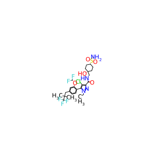 CCn1nc(C(=O)NC[C@]2(O)CC[C@@H](S(N)(=O)=O)CC2)c(Cl)c1-c1ccc(CC(C)(C)C(F)(F)F)cc1OC(F)F